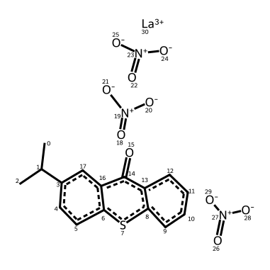 CC(C)c1ccc2sc3ccccc3c(=O)c2c1.O=[N+]([O-])[O-].O=[N+]([O-])[O-].O=[N+]([O-])[O-].[La+3]